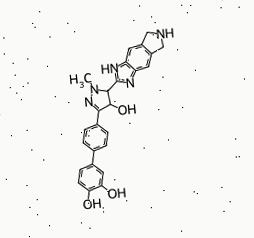 CN1N=C(c2ccc(-c3ccc(O)c(O)c3)cc2)C(O)C1c1nc2cc3c(cc2[nH]1)CNC3